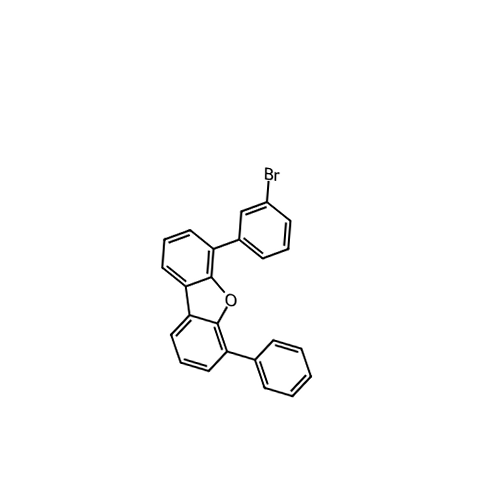 Brc1cccc(-c2cccc3c2oc2c(-c4ccccc4)cccc23)c1